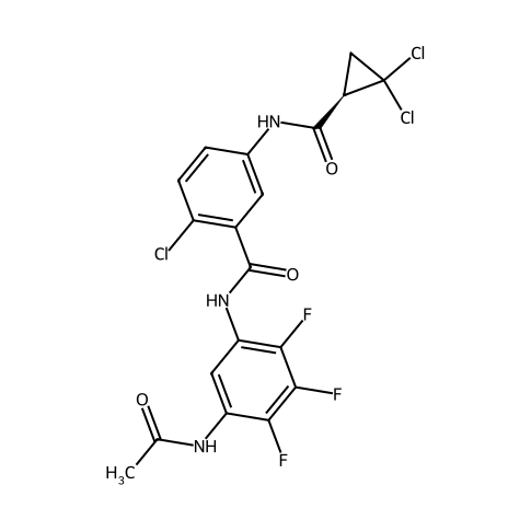 CC(=O)Nc1cc(NC(=O)c2cc(NC(=O)[C@H]3CC3(Cl)Cl)ccc2Cl)c(F)c(F)c1F